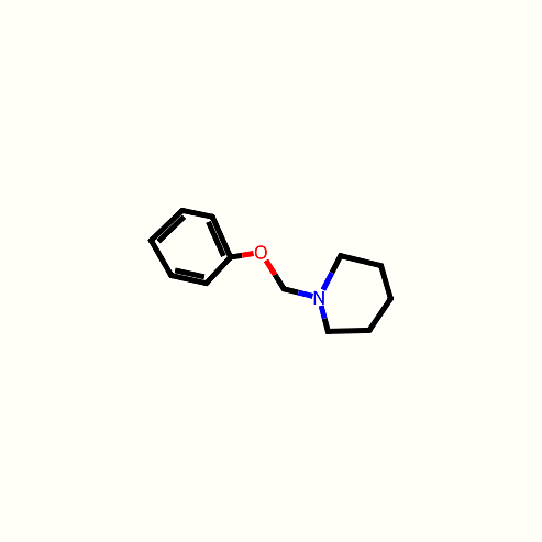 c1ccc(OCN2CCCCC2)cc1